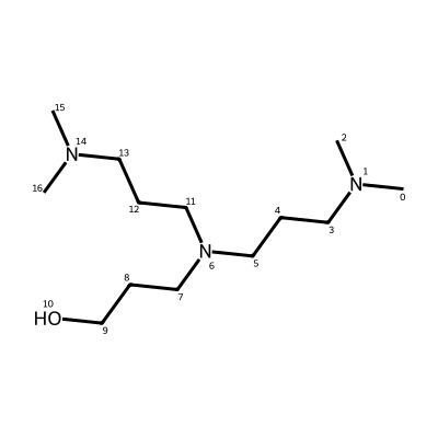 CN(C)CCCN(CCCO)CCCN(C)C